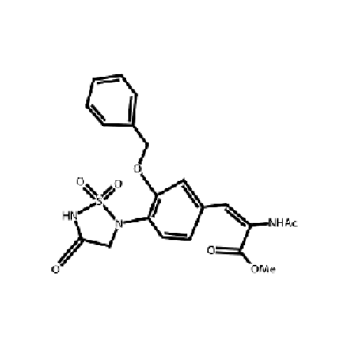 COC(=O)C(=Cc1ccc(N2CC(=O)NS2(=O)=O)c(OCc2ccccc2)c1)NC(C)=O